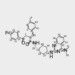 Cc1ccc(SC(CC(=O)c2ccc(F)cc2)C(=O)NC[C@H]2CC[C@@H](Nc3nc(N(C)C)c4ccccc4n3)CC2)cc1